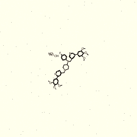 COc1cc(-c2cncc(CN(c3ccc(F)cc3)C3CCN(Cc4ccnc(-c5cc(OC)c(OC)c(OC)c5)c4)CC3)c2)cc(OC)c1OC.Cl.Cl.Cl